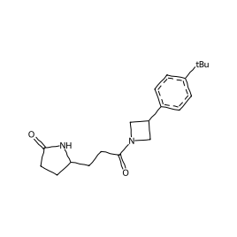 CC(C)(C)c1ccc(C2CN(C(=O)CCC3CCC(=O)N3)C2)cc1